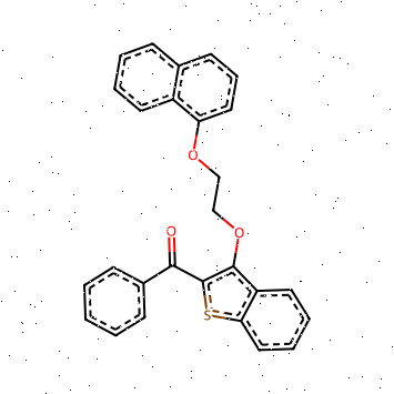 O=C(c1ccccc1)c1sc2ccccc2c1OCCOc1cccc2ccccc12